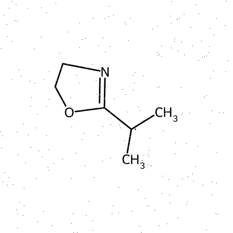 C[C](C)C1=NCCO1